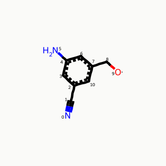 N#Cc1cc(N)cc(C[O])c1